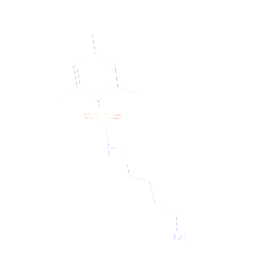 Cc1cc(C)c(S(=O)(=O)NSCCCCN)c(C)c1